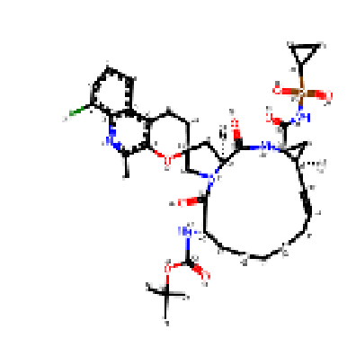 Cc1nc2c(F)cccc2c2c1O[C@]1(CC2)C[C@H]2C(=O)N[C@]3(C(=O)NS(=O)(=O)C4CC4)C[C@H]3/C=C\CCCCC[C@H](NC(=O)OC(C)(C)C)C(=O)N2C1